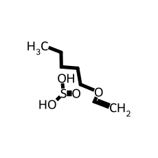 C=COCCCCC.O=S(O)O